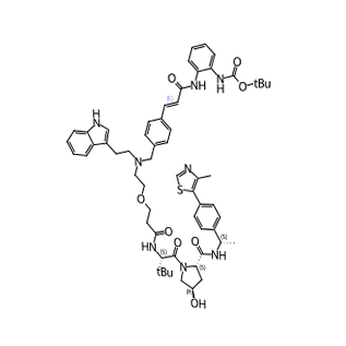 Cc1ncsc1-c1ccc([C@H](C)NC(=O)[C@@H]2C[C@@H](O)CN2C(=O)[C@@H](NC(=O)CCOCCN(CCc2c[nH]c3ccccc23)Cc2ccc(/C=C/C(=O)Nc3ccccc3NC(=O)OC(C)(C)C)cc2)C(C)(C)C)cc1